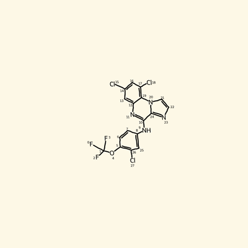 FC(F)(F)Oc1ccc(Nc2nc3cc(Cl)cc(Cl)c3n3ccnc23)cc1Cl